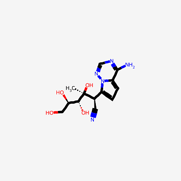 C[C@](O)([C@H](C#N)c1ccc2c(N)ncnn12)[C@H](O)[C@H](O)CO